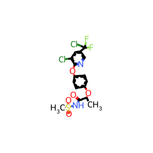 CC(Oc1ccc(Oc2ncc(C(F)(F)Cl)cc2Cl)cc1)C(=O)NS(C)(=O)=O